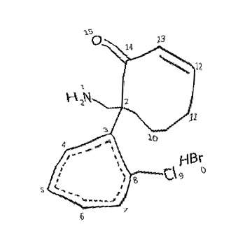 Br.NC1(c2ccccc2Cl)CCC=CC1=O